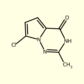 Cc1nn2c(Cl)ccc2c(=O)[nH]1